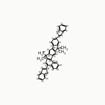 CC1(C)c2cc(-c3cc4ccccc4s3)ccc2-c2cc3c(cc21)-c1c(cc(-c2cc4ccccc4s2)c2ccccc12)C3(C)C